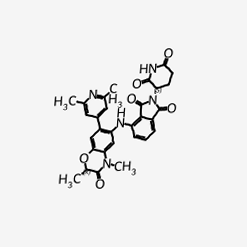 Cc1cc(-c2cc3c(cc2Nc2cccc4c2C(=O)N([C@H]2CCC(=O)NC2=O)C4=O)N(C)C(=O)[C@@H](C)O3)cc(C)n1